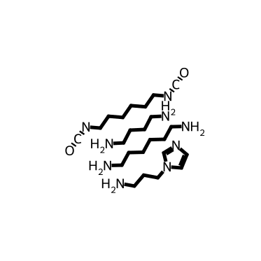 NCCCCCCN.NCCCCN.NCCCn1ccnc1.O=C=NCCCCCCN=C=O